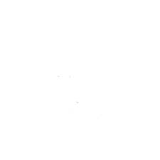 C=C1C(=N)C=CC=C1C1(C)CCCC1